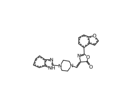 O=C1OC(c2cccc3occc23)=NC1=CN1CCN(c2nc3ccccc3[nH]2)CC1